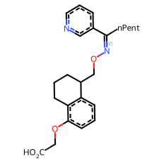 CCCCC/C(=N/OCC1CCCc2c(OCC(=O)O)cccc21)c1cccnc1